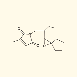 CCC(CN1C(=O)C=C(C)C1=O)C1OC1(CC)CC